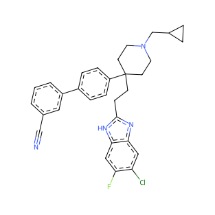 N#Cc1cccc(-c2ccc(C3(CCc4nc5cc(Cl)c(F)cc5[nH]4)CCN(CC4CC4)CC3)cc2)c1